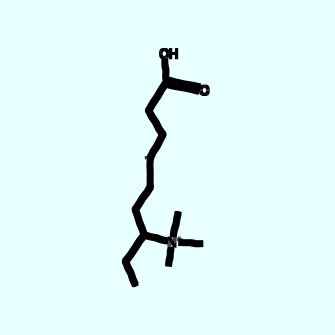 CCC(CC[CH]CCC(=O)O)[N+](C)(C)C